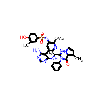 COc1ncc(-c2c(N)ncnc2NC(C)c2nn3ccc(C)c3c(=O)n2-c2ccccc2)cc1NS(=O)(=O)c1ccc(O)c(C)c1